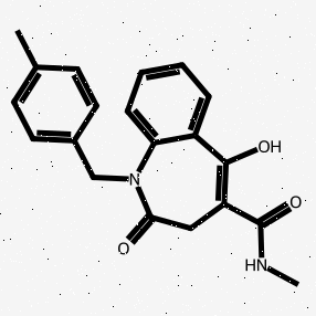 CNC(=O)C1=C(O)c2ccccc2N(Cc2ccc(C)cc2)C(=O)C1